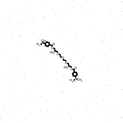 CN(C)c1ccc(C(=O)OCC(O)COCCOCCOCC(O)COC(=O)c2ccc(N(C)C)cc2)cc1